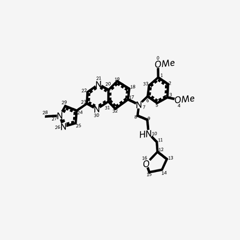 COc1cc(OC)cc(N(CCNCC2CCCO2)c2ccc3ncc(-c4cnn(C)c4)nc3c2)c1